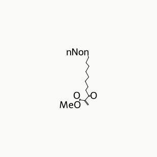 C=C(C(=O)CCCCCCCCCCCCCCCCC)C(=O)OC